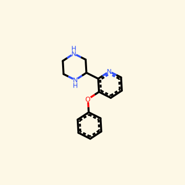 c1ccc(Oc2cccnc2C2CNCCN2)cc1